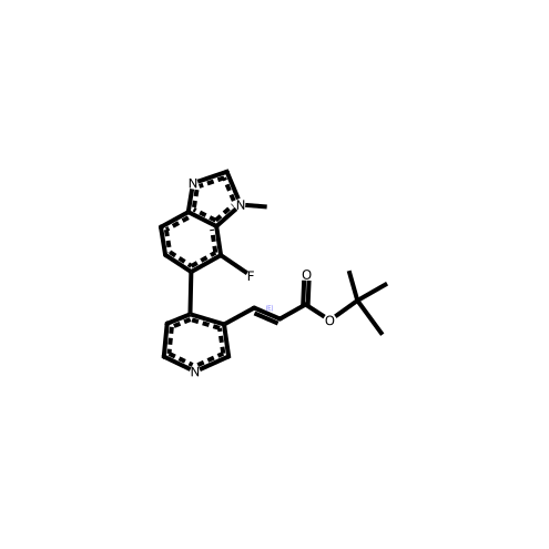 Cn1cnc2ccc(-c3ccncc3/C=C/C(=O)OC(C)(C)C)c(F)c21